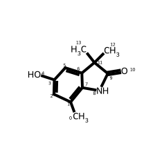 Cc1cc(O)cc2c1NC(=O)C2(C)C